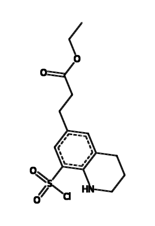 CCOC(=O)CCc1cc2c(c(S(=O)(=O)Cl)c1)NCCC2